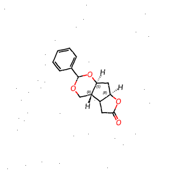 O=C1CC2[C@@H](C[C@@H]3OC(c4ccccc4)OC[C@@H]23)O1